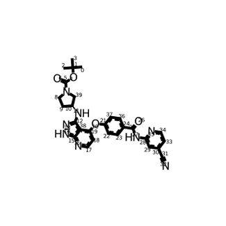 CC(C)(C)OC(=O)N1CC[C@@H](Nc2n[nH]c3nccc(Oc4ccc(C(=O)Nc5cc(C#N)ccn5)cc4)c23)C1